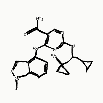 Cn1ncc2c(Nc3nc(NC(C4CC4)C4(N)CC4)ncc3C(N)=O)cccc21